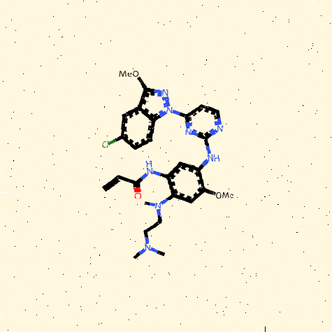 C=CC(=O)Nc1cc(Nc2nccc(-n3nc(OC)c4cc(Cl)ccc43)n2)c(OC)cc1N(C)CCN(C)C